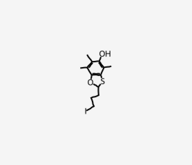 Cc1c(C)c2c(c(C)c1O)SC(CCCI)O2